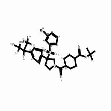 CC(C)(C)OC(=O)C1CCC(C(=O)N2CCC(c3ccc(C(F)(C(F)(F)F)C(F)(F)F)cc3)(S(=O)(=O)c3cccc(Br)c3)C2)CC1